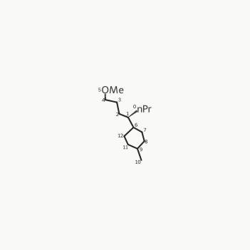 CCC[C@H](CCCOC)C1CCC(C)CC1